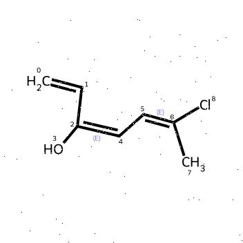 C=C/C(O)=C\C=C(/C)Cl